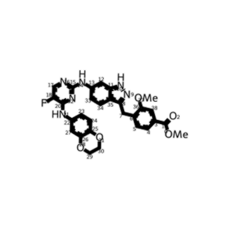 COC(=O)c1ccc(Cc2n[nH]c3cc(Nc4ncc(F)c(Nc5ccc6c(c5)OCCO6)n4)ccc23)c(OC)c1